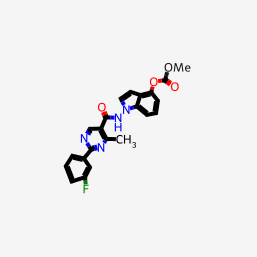 COC(=O)Oc1cccc2c1ccn2NC(=O)c1cnc(-c2cccc(F)c2)nc1C